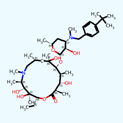 CC[C@H]1OC(=O)[C@H](C)[C@@H](O)[C@H](C)[C@@H](O[C@@H]2O[C@H](C)C[C@H](N(C)Cc3ccc(C(C)(C)C)cc3)[C@H]2O)[C@](C)(O)C[C@@H](C)CN(C)[C@H](C)[C@@H](O)[C@]1(C)O